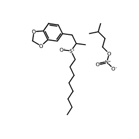 CC(C)CCO[N+](=O)[O-].CCCCCCCC[S+]([O-])C(C)Cc1ccc2c(c1)OCO2